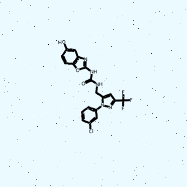 O=C(NCc1cc(C(F)(F)F)nn1-c1cccc(Cl)c1)Nc1nc2cc(O)ccc2o1